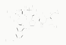 CCC[C@H](NC(=O)[C@@H]1C[C@@H](Oc2nc(C)cc3cc(OC)ccc23)CN1C(=O)[C@@H](NC(=O)NC(C)(C)C)C(C)(C)C)C(O)C(=O)NC1CC1